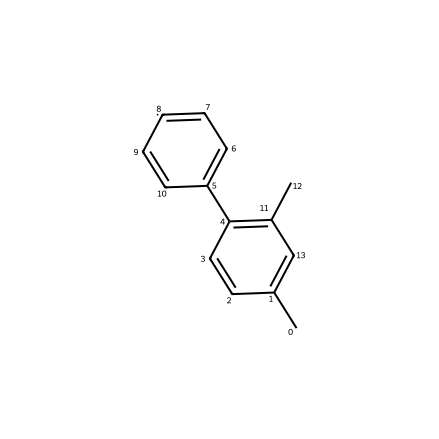 Cc1ccc(-c2cc[c]cc2)c(C)c1